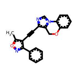 Cc1onc(-c2ccccc2)c1C#Cc1ncn2c1COc1ccccc1-2